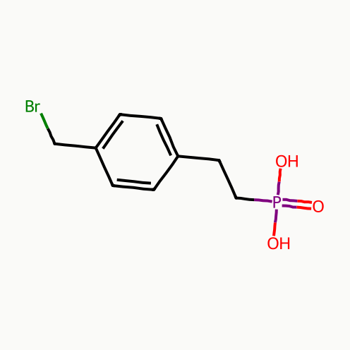 O=P(O)(O)CCc1ccc(CBr)cc1